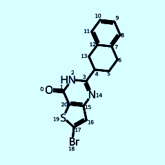 O=c1[nH]c(C2CCc3ccccc3C2)nc2cc(Br)sc12